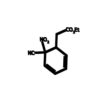 CCOC(=O)CC1C=CC=CC1(C#N)[N+](=O)[O-]